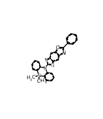 C[Si]1(C)c2ccccc2N(c2nc3cc4oc(-c5ccccc5)nc4cc3o2)c2ccccc21